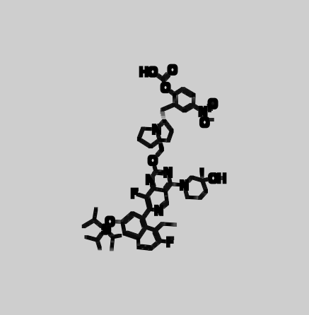 CCc1c(F)ccc2cc(O[Si](C(C)C)(C(C)C)C(C)C)cc(-c3ncc4c(N5CCC[C@@](C)(O)C5)nc(OC[C@@]56CCCN5[C@H](Cc5cc([N+](=O)[O-])ccc5OC(=O)O)CC6)nc4c3F)c12